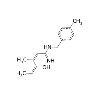 C/C=C(O)\C(C)=C/C(=N)NCc1ccc(C)cc1